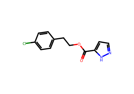 O=C(OCCc1ccc(Cl)cc1)c1ccn[nH]1